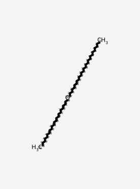 CCCCCCCCCCCCCCCCCCCCCCCCCCC[CH]OCCCCCCCCCCCCCCCCCCCCCCCC